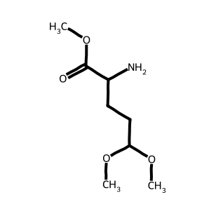 COC(=O)C(N)CCC(OC)OC